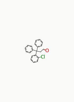 O=CCC(c1ccccc1)(c1ccccc1)c1ccccc1Cl